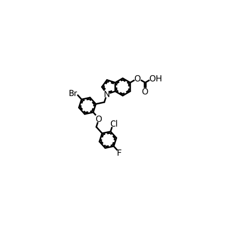 O=C(O)Oc1ccc2c(ccn2Cc2cc(Br)ccc2OCc2ccc(F)cc2Cl)c1